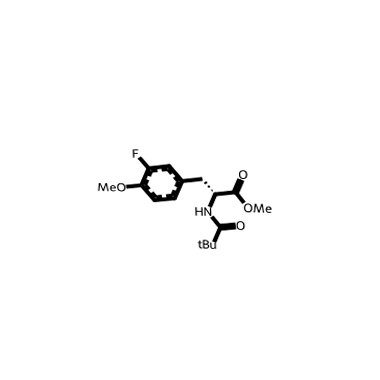 COC(=O)[C@@H](Cc1ccc(OC)c(F)c1)NC(=O)C(C)(C)C